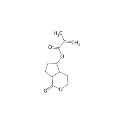 C=C(C)C(=O)OC1CCC2C(=O)OCCC12